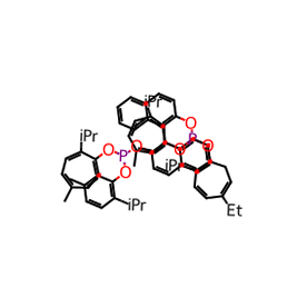 CCC1=CCC(OP(Oc2ccc3ccccc3c2-c2c(OP(OC3=CCC(C)=CC=C3C(C)C)Oc3cc(C)ccc3C(C)C)ccc3ccccc23)OC2C=C(C)C=CC(C(C)C)=C2)=C(C(C)C)C=C1